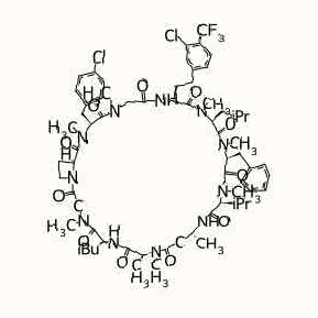 CC[C@H](C)[C@@H]1NC(=O)[C@H](C)N(C)C(=O)C[C@@H](C)NC(=O)[C@H](C(C)C)N(C)C(=O)[C@H](Cc2ccccc2)N(C)C(=O)[C@H](CC(C)C)N(C)C(=O)[C@H](CCc2ccc(C(F)(F)F)c(Cl)c2)NC(=O)CN(C)C(=O)[C@H](Cc2ccc(Cl)cc2)N(C)C(=O)[C@@H]2CCN2C(=O)CN(C)C1=O